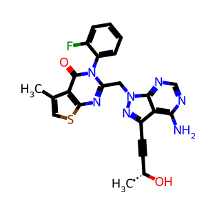 Cc1csc2nc(Cn3nc(C#C[C@@H](C)O)c4c(N)ncnc43)n(-c3ccccc3F)c(=O)c12